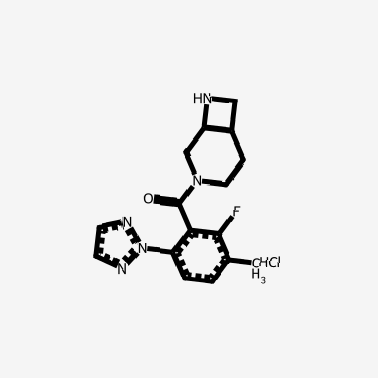 Cc1ccc(-n2nccn2)c(C(=O)N2CCC3CNC3C2)c1F.Cl